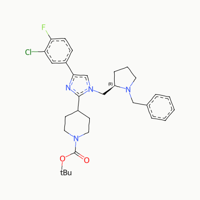 CC(C)(C)OC(=O)N1CCC(c2nc(-c3ccc(F)c(Cl)c3)cn2C[C@H]2CCCN2Cc2ccccc2)CC1